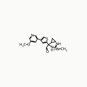 CNC(=N)NC(C=O)(c1cc(-c2cncc(OC)c2)cs1)C1CC1